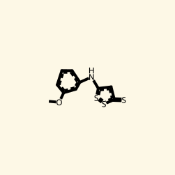 COc1cccc(Nc2cc(=S)ss2)c1